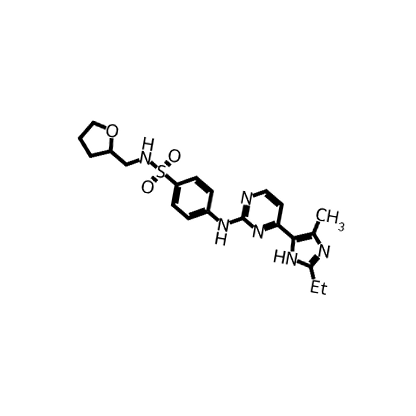 CCc1nc(C)c(-c2ccnc(Nc3ccc(S(=O)(=O)NCC4CCCO4)cc3)n2)[nH]1